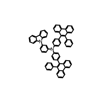 c1ccc(-c2c(-c3ccc(N(c4ccc(-c5c(-c6ccccc6)c6ccccc6c6ccccc56)cc4)c4cccc(-n5c6ccccc6c6ccccc65)c4)cc3)c3ccccc3c3ccccc23)cc1